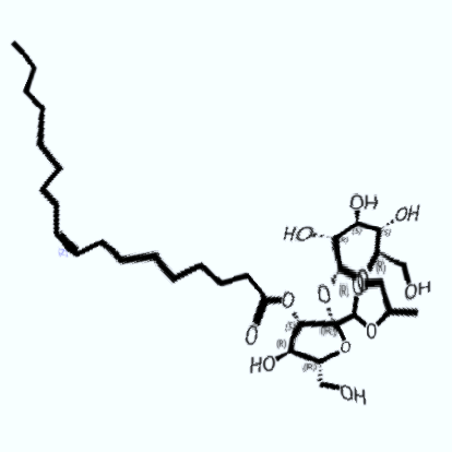 CCCCCCCC/C=C\CCCCCCCC(=O)O[C@H]1[C@H](O)[C@@H](CO)O[C@]1(O[C@H]1O[C@H](CO)[C@@H](O)[C@H](O)[C@H]1O)C1OCC(C)O1